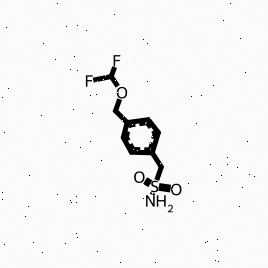 NS(=O)(=O)Cc1ccc(COC(F)F)cc1